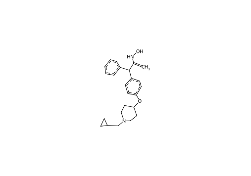 C=C(NO)C(c1ccccc1)c1ccc(OC2CCN(CC3CC3)CC2)cc1